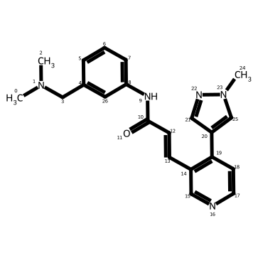 CN(C)Cc1cccc(NC(=O)C=Cc2cnccc2-c2cnn(C)c2)c1